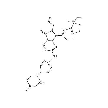 C=CCn1c(=O)c2cnc(Nc3ccc(N4CCN(C)C[C@H]4C)cc3)nc2n1-c1ccc2c(n1)[C@@](C)(OI)CC2